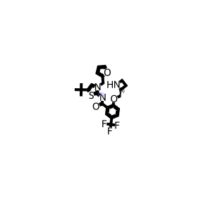 CC(C)(C)c1cn(Cc2ccco2)/c(=N/C(=O)c2cc(C(F)(F)F)ccc2OC[C@@H]2CCN2)s1